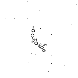 CC(C)c1cc(C#N)cc2nc(-c3ccc(C(=O)NCC4CC=C(c5ccc(F)cc5)CC4)cc3)oc12